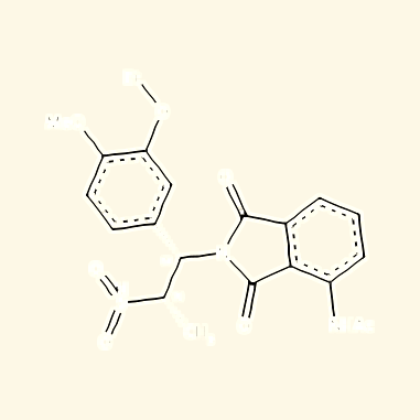 CCOc1cc([C@@H]([C@H](C)[SH](=O)=O)N2C(=O)c3cccc(NC(C)=O)c3C2=O)ccc1OC